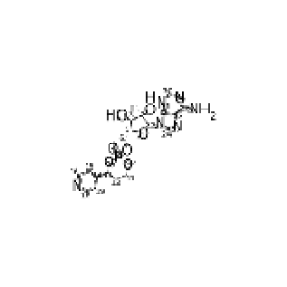 C[C@@]1(O)[C@H](O)[C@@H](COP2(=O)OCCC(c3ccncc3)O2)O[C@H]1n1cnc2c(N)ncnc21